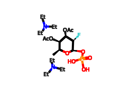 CC(=O)O[C@H]1[C@H](F)[C@@H](OP(=O)(O)O)O[C@@H](C)[C@H]1OC(C)=O.CCN(CC)CC.CCN(CC)CC